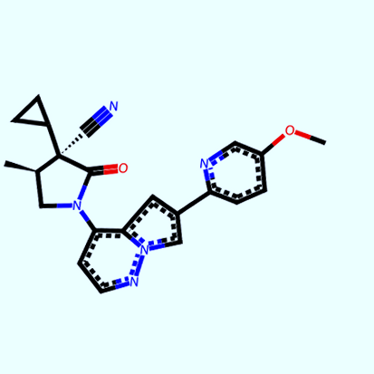 COc1ccc(-c2cc3c(N4C[C@@H](C)[C@@](C#N)(C5CC5)C4=O)ccnn3c2)nc1